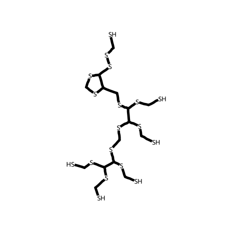 SCSSC1SCSC1CSC(SCS)C(SCS)SCSC(SCS)C(SCS)SCS